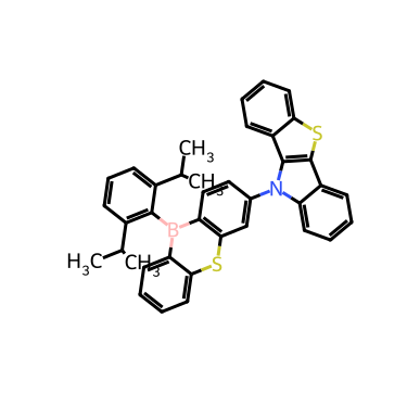 CC(C)c1cccc(C(C)C)c1B1c2ccccc2Sc2cc(-n3c4ccccc4c4sc5ccccc5c43)ccc21